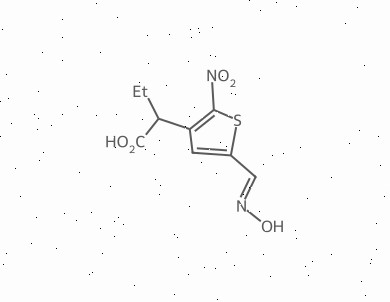 CCC(C(=O)O)c1cc(C=NO)sc1[N+](=O)[O-]